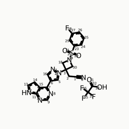 N#CCC1(n2cc(-c3ncnc4[nH]ccc34)cn2)CN(S(=O)(=O)c2cccc(F)c2)C1.O=C(O)C(F)(F)F